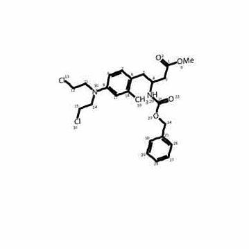 COC(=O)CC(Cc1ccc(N(CCCl)CCCl)cc1C)NC(=O)OCc1ccccc1